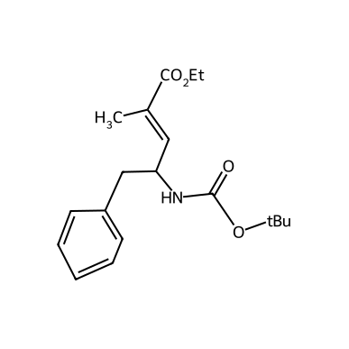 CCOC(=O)C(C)=CC(Cc1ccccc1)NC(=O)OC(C)(C)C